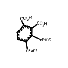 CCCCCc1ccc(C(=O)O)c(C(=O)O)c1CCCCC